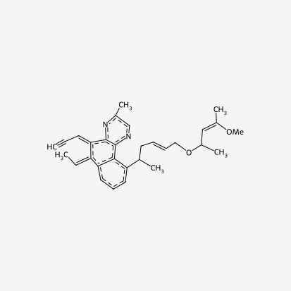 C#C/C=c1\c(=C/C)c2cccc(C(C)C/C=C/COC(C)/C=C(/C)OC)c2c2ncc(C)nc12